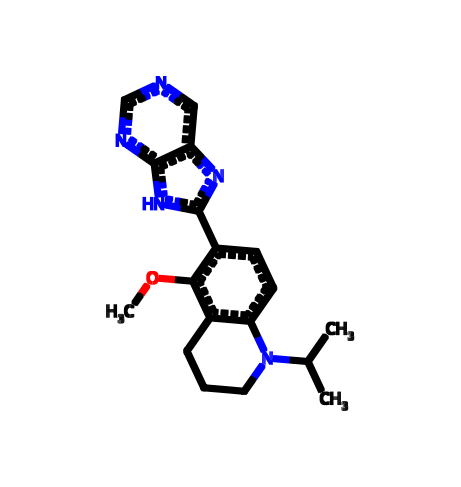 COc1c(-c2nc3cncnc3[nH]2)ccc2c1CCCN2C(C)C